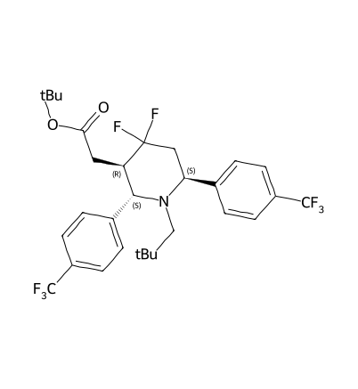 CC(C)(C)CN1[C@H](c2ccc(C(F)(F)F)cc2)[C@@H](CC(=O)OC(C)(C)C)C(F)(F)C[C@H]1c1ccc(C(F)(F)F)cc1